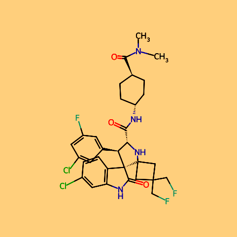 CN(C)C(=O)[C@H]1CC[C@H](NC(=O)[C@@H]2NC3(CC(CF)(CF)C3)[C@@]3(C(=O)Nc4cc(Cl)ccc43)[C@H]2c2cc(F)cc(Cl)c2)CC1